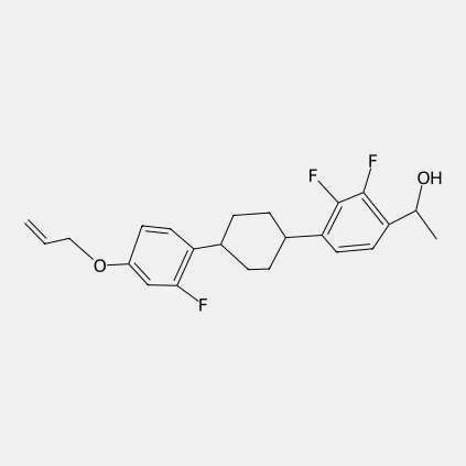 C=CCOc1ccc(C2CCC(c3ccc(C(C)O)c(F)c3F)CC2)c(F)c1